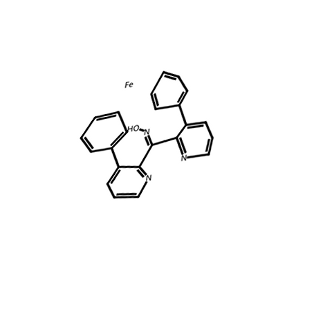 ON=C(c1ncccc1-c1ccccc1)c1ncccc1-c1ccccc1.[Fe]